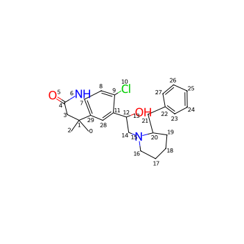 CC1(C)CC(=O)Nc2cc(Cl)c(C(O)CN3CCCCC3Cc3ccccc3)cc21